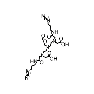 [N-]=[N+]=NCCCNC(=O)CN(CCN(CCN(CC(=O)O)CC(=O)NCCCN=[N+]=[N-])COC=O)CC(=O)O